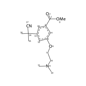 COC(=O)c1cc(OCCN(C)C)cc(C(C)(C)C#N)c1